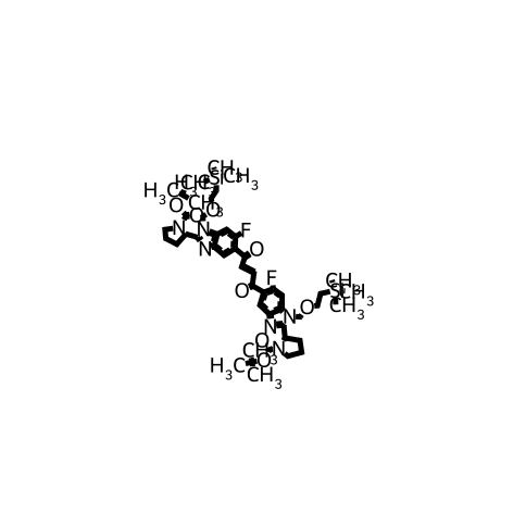 CC(C)(C)OC(=O)N1CCCC1c1nc2cc(C(=O)/C=C/C(=O)c3cc4nc(C5CCCN5C(=O)OC(C)(C)C)n(COCC[Si](C)(C)C)c4cc3F)c(F)cc2n1COCC[Si](C)(C)C